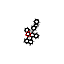 c1ccc2cc(-c3cccc4cccc(-c5c6ccccc6c(-c6ccc7c(c6)oc6ccccc67)c6ccccc56)c34)ccc2c1